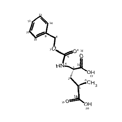 C[C@H](C[C@H](NC(=O)OCc1ccccc1)C(=O)O)C(=O)O